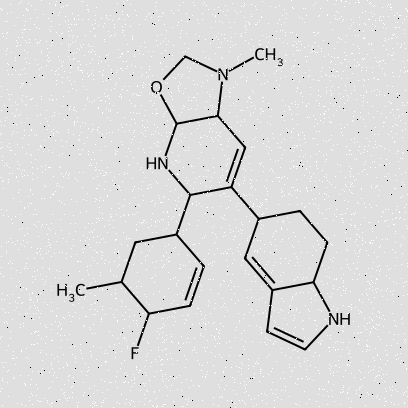 CC1CC(C2NC3OCN(C)C3C=C2C2C=C3C=CNC3CC2)C=CC1F